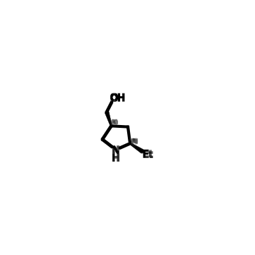 CC[C@@H]1C[C@H](CO)CN1